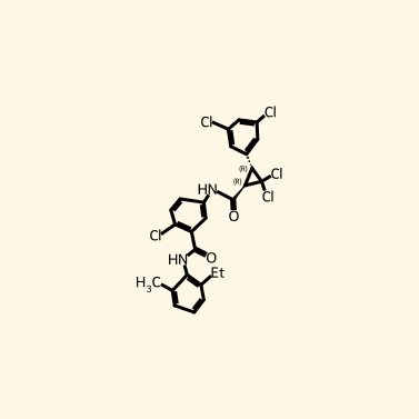 CCc1cccc(C)c1NC(=O)c1cc(NC(=O)[C@H]2[C@H](c3cc(Cl)cc(Cl)c3)C2(Cl)Cl)ccc1Cl